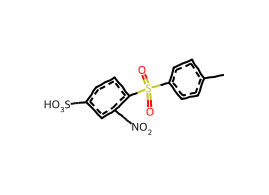 Cc1ccc(S(=O)(=O)c2ccc(S(=O)(=O)O)cc2[N+](=O)[O-])cc1